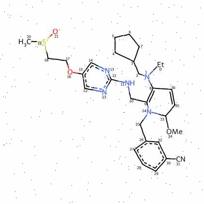 CCN(CC1CCCC1)C1=C(CNc2ncc(OCC[S+](C)[O-])cn2)N(Cc2cccc(C#N)c2)C(OC)C=C1